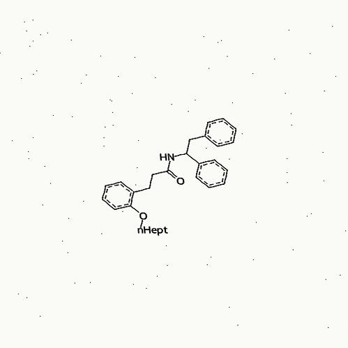 CCCCCCCOc1ccccc1CCC(=O)NC(Cc1ccccc1)c1ccccc1